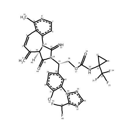 C=C1C=Cc2c(ccnc2C)N2C(=N)N([C@H](COC(=O)NC3(C(F)(F)F)CC3)c3ccc(Cl)c(-n4ncnc4C(F)F)c3)C(=O)[C@@H]12